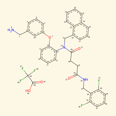 NCc1cccc(Oc2ccccc2N(Cc2cccc3ccccc23)C(=O)CCC(=O)NCc2c(F)cccc2F)c1.O=C(O)C(F)(F)F